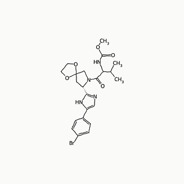 COC(=O)NC(C(=O)N1CC2(C[C@H]1c1ncc(-c3ccc(Br)cc3)[nH]1)OCCO2)C(C)C